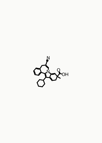 CC1(C(=O)O)C=c2c(c(C3CCCCC3)c3n2C=C(C#N)Cc2ccccc2-3)=CC1